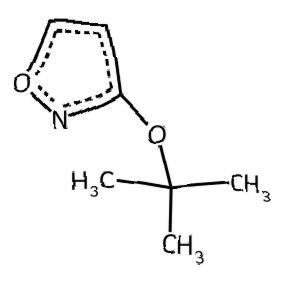 CC(C)(C)Oc1ccon1